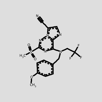 COc1ccc(CN(CC(F)(F)F)c2nc(S(C)(=O)=O)nn3c(C#N)cnc23)cc1